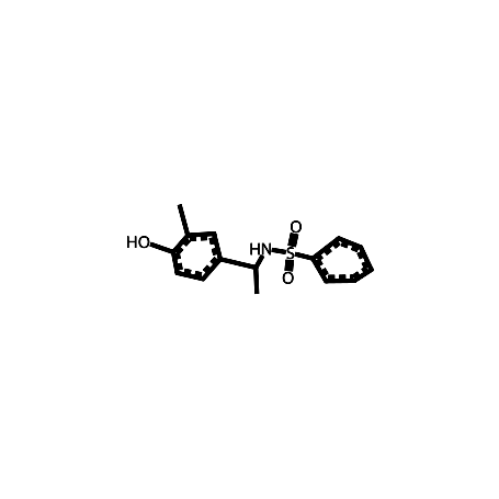 Cc1cc(C(C)NS(=O)(=O)c2ccccc2)ccc1O